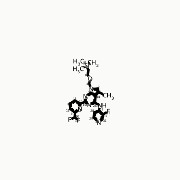 Cc1cn(COCC[Si](C)(C)C)c2nc(-c3cccc(C(F)F)n3)nc(Nc3ccncc3F)c12